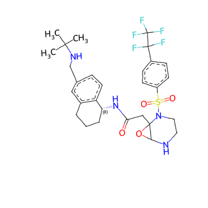 CC(C)(C)NCc1ccc2c(c1)CCC[C@H]2NC(=O)CC12OC1NCCN2S(=O)(=O)c1ccc(C(F)(F)C(F)(F)F)cc1